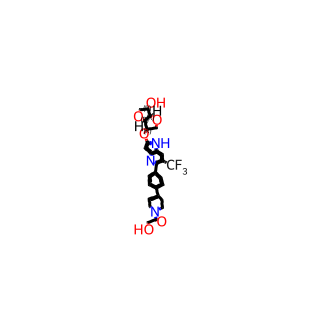 O=C(CO)N1CC=C(c2ccc(-c3nc4cc(O[C@@H]5CO[C@H]6[C@@H]5OC[C@H]6O)[nH]c4cc3C(F)(F)F)cc2)CC1